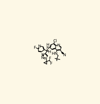 [2H][C@](Nc1cc(Cl)c2ncc(C#N)c(NCC(C)(C)C)c2c1)(c1ccc(F)nc1)c1cn(C2(C(F)F)CC2)nn1